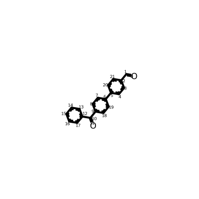 O=Cc1ccc(-c2ccc(C(=O)c3ccccc3)cc2)cc1